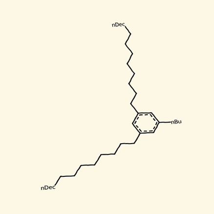 [CH2]CCCc1cc(CCCCCCCCCCCCCCCCCC)cc(CCCCCCCCCCCCCCCCCC)c1